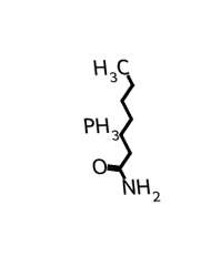 CCCCCCC(N)=O.P